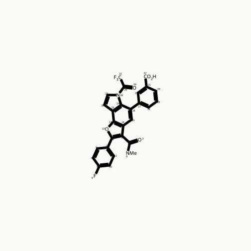 CNC(=O)c1c(-c2ccc(F)cc2)oc2c1cc(-c1cccc(C(=O)O)c1)c1c2ccn1C(=O)C(F)(F)F